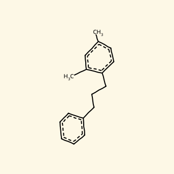 Cc1ccc(CCCc2ccccc2)c(C)c1